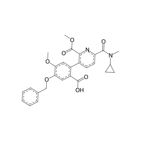 COC(=O)c1nc(C(=O)N(C)C2CC2)ccc1-c1cc(OC)c(OCc2ccccc2)cc1C(=O)O